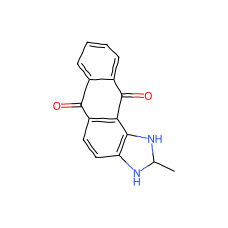 CC1Nc2ccc3c(c2N1)C(=O)c1ccccc1C3=O